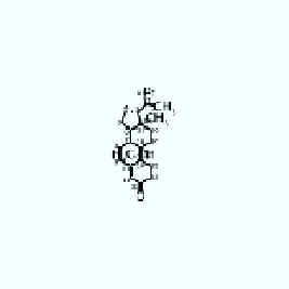 CC(C)[C@@H](C)[C@H]1CCC2C3CCC4=CC(=O)CC[C@]4(C)[C@H]3CC[C@@]21C